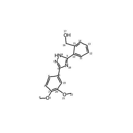 COc1ccc(-c2n[nH]c(-c3ccccc3CO)n2)cc1OC